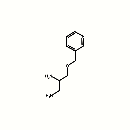 NCC(N)COCc1cccnc1